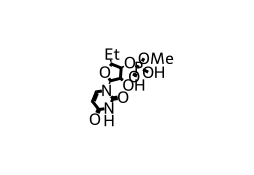 CC[C@H]1O[C@@H](n2ccc(=O)[nH]c2=O)C(O)[C@H]1OP(=O)(O)OC